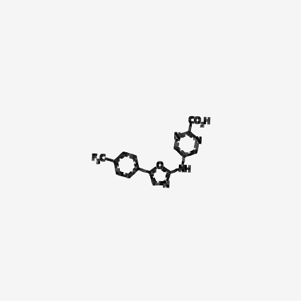 O=C(O)c1ncc(Nc2ncc(-c3ccc(C(F)(F)F)cc3)o2)cn1